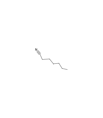 CCC[CH]CCC#N